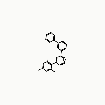 Cc1cc(C)c(-c2ccnc(-c3cccc(-c4ccccc4)c3)c2)c(C)c1